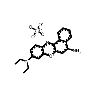 CCN(CC)c1ccc2nc3c(cc(N)c4ccccc43)[o+]c2c1.[O-][Cl+3]([O-])([O-])[O-]